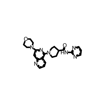 O=C(Nc1ncccn1)C1CCN(c2nc(N3CCOCC3)cc3ncccc23)CC1